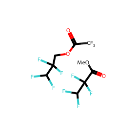 COC(=O)C(F)(F)C(F)F.O=C(OCC(F)(F)C(F)F)C(F)(F)F